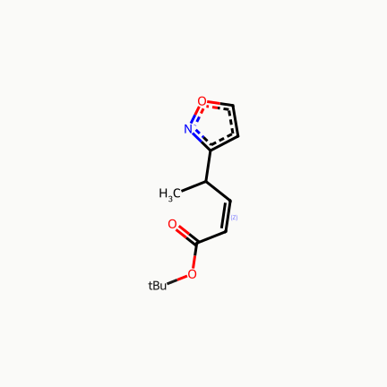 CC(/C=C\C(=O)OC(C)(C)C)c1ccon1